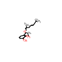 CC(=O)Oc1c(OCC=C(C)CCC=C(C)C)c2cccc(O)c2oc1=O